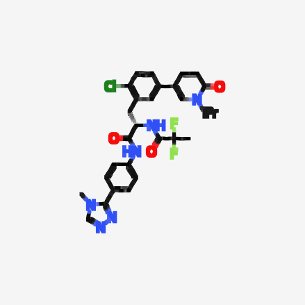 CC(C)n1cc(-c2ccc(Cl)c(C[C@H](NC(=O)C(C)(F)F)C(=O)Nc3ccc(-c4nncn4C)cc3)c2)ccc1=O